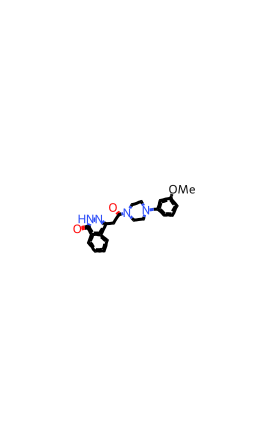 COc1cccc(N2CCN(C(=O)Cc3n[nH]c(=O)c4ccccc34)CC2)c1